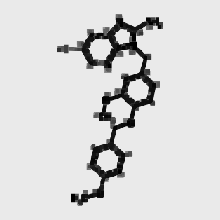 COc1ccc(COc2ccc(Cn3c(N)nc4cc(I)cnc43)cc2OC)cc1